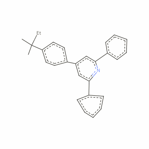 CCC(C)(C)c1ccc(-c2cc(-c3ccccc3)nc(-c3ccccc3)c2)cc1